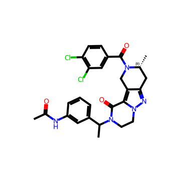 CC(=O)Nc1cccc(C(C)N2CCn3nc4c(c3C2=O)CN(C(=O)c2ccc(Cl)c(Cl)c2)[C@H](C)C4)c1